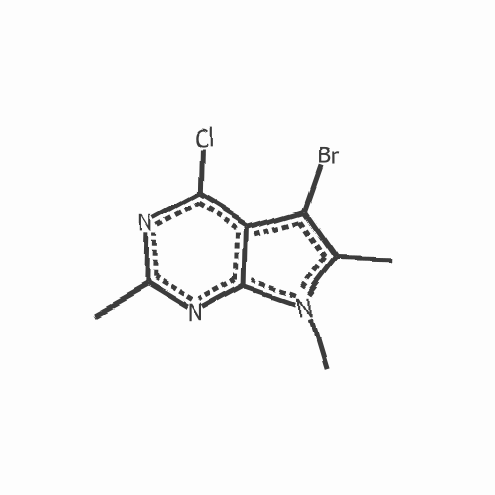 Cc1nc(Cl)c2c(Br)c(C)n(C)c2n1